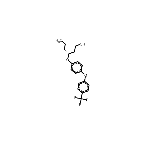 CCC[C@H](CCO)Oc1ccc(Oc2ccc(C(F)(F)F)cc2)cc1